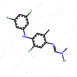 CCN(C)C=Nc1cc(F)c(Nc2cc(F)cc(F)c2)cc1C